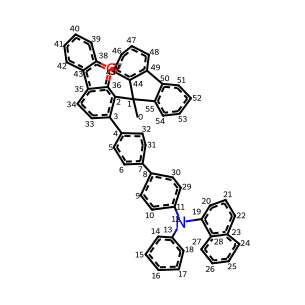 CC1(c2c(-c3ccc(-c4ccc(N(c5ccccc5)c5cccc6ccccc56)cc4)cc3)ccc3c2oc2ccccc23)c2ccccc2-c2ccccc21